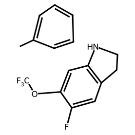 Cc1ccccc1.Fc1cc2c(cc1OC(F)(F)F)NCC2